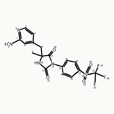 CC1(Cc2ccnc(N)c2)NC(=O)N(c2ccc(S(=O)(=O)C(F)(F)F)cc2)C1=O